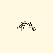 Cc1cc(CNC23CC4CC5CC(C2)C543)ccc1CSc1cccc2c1CCC(C1CCC(=O)NC1=O)C2=O